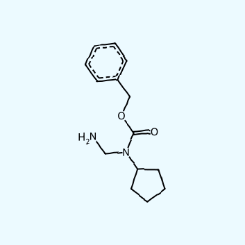 NCN(C(=O)OCc1ccccc1)C1CCCC1